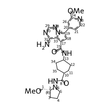 COC[C@H]1CCCN1NC(=O)C1CCC(NC(=O)c2cc(-c3ccnc(OC)c3)n3ncnc(N)c23)CC1